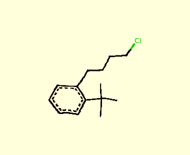 CC(C)(C)c1ccccc1CCCCCl